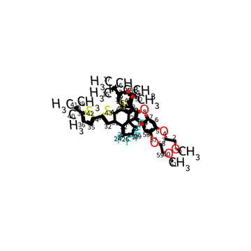 COCCOc1cc2oc(-c3ccc(C(C)(C)C)cc3)c(C34C(=C(F)C(F)(F)C3(F)F)C3C=C(c5ccc(C(C)(C)C)s5)SC3c3sc(C(C)(C)C)cc34)c2cc1OCCOC